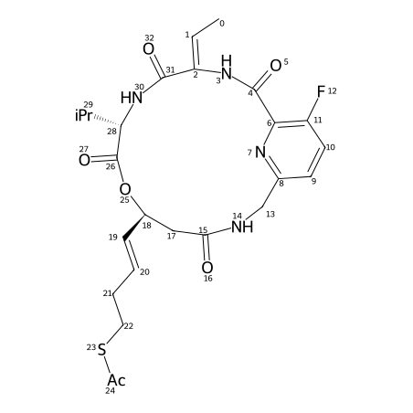 C/C=C1\NC(=O)c2nc(ccc2F)CNC(=O)C[C@@H](/C=C/CCSC(C)=O)OC(=O)[C@H](C(C)C)NC1=O